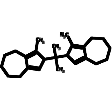 CC1=C2CCCCCC2=CC1C(C)(C)C1C=C2CCCCCC2=C1C